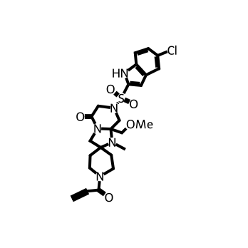 C#CC(=O)N1CCC2(CC1)CN1C(=O)CN(S(=O)(=O)c3cc4cc(Cl)ccc4[nH]3)CC1(COC)N2C